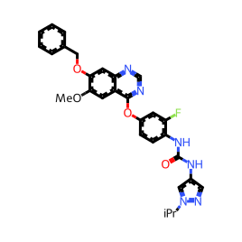 COc1cc2c(Oc3ccc(NC(=O)Nc4cnn(C(C)C)c4)c(F)c3)ncnc2cc1OCc1ccccc1